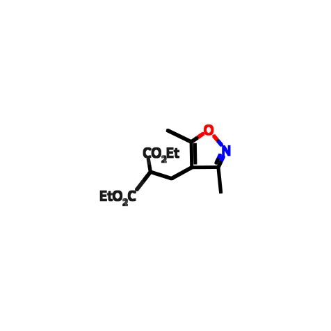 CCOC(=O)C(Cc1c(C)noc1C)C(=O)OCC